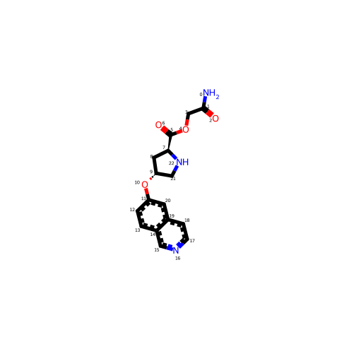 NC(=O)COC(=O)[C@@H]1C[C@@H](Oc2ccc3cnccc3c2)CN1